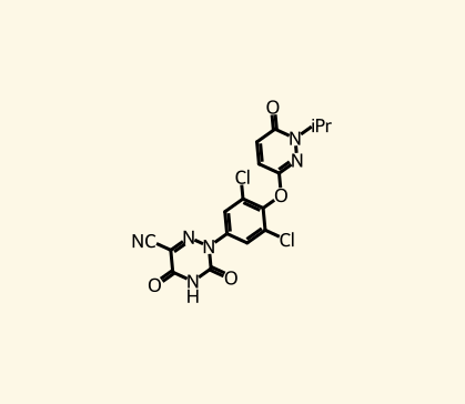 CC(C)n1nc(Oc2c(Cl)cc(-n3nc(C#N)c(=O)[nH]c3=O)cc2Cl)ccc1=O